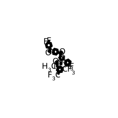 CN(C(=O)N(C)[C@@H]1CN(C(=O)C2CCN(C(=O)C3CCC(F)(F)CC3)CC2)C[C@H]1c1ccc(F)cc1)c1cc(C(F)(F)F)cc(C(F)(F)F)c1